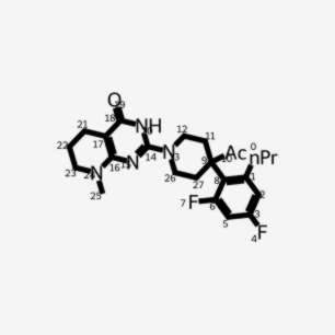 CCCc1cc(F)cc(F)c1C1(C(C)=O)CCN(c2nc3c(c(=O)[nH]2)CCCN3C)CC1